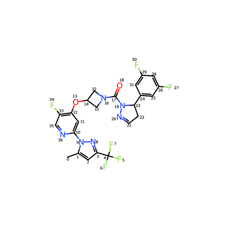 Cc1cc(C(F)(F)F)nn1-c1cc(OC2CN(C(=O)N3N=CCC3c3cc(F)cc(F)c3)C2)c(F)cn1